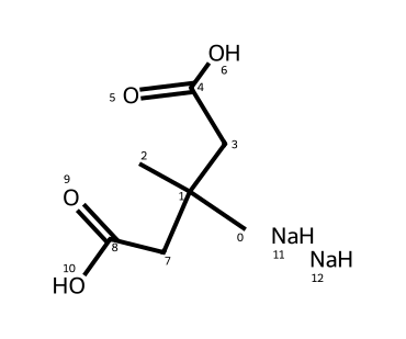 CC(C)(CC(=O)O)CC(=O)O.[NaH].[NaH]